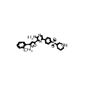 Cc1ccccc1-c1cc(-c2nc(-c3ccc(S(=O)(=O)C4CCCNC4)cc3)cnc2N)on1